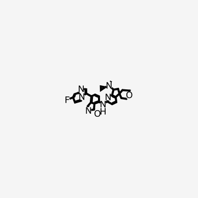 CN(C1CC1)C1CC2(CCOCC2)c2ccc(Nc3ccc(-c4cnc5cc(F)ccn45)c4c3C(=O)N=C4)nc21